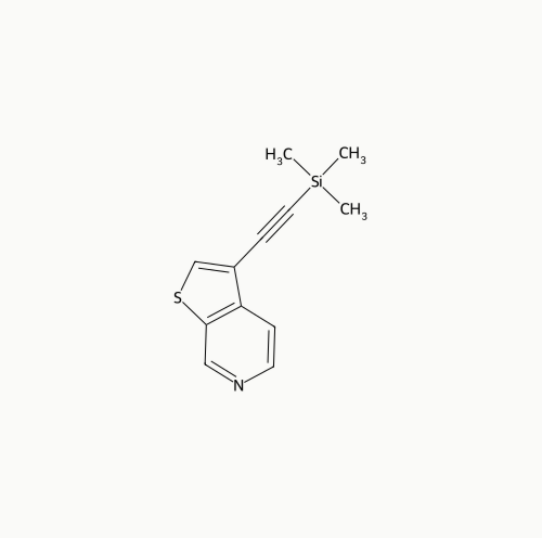 C[Si](C)(C)C#Cc1csc2cnccc12